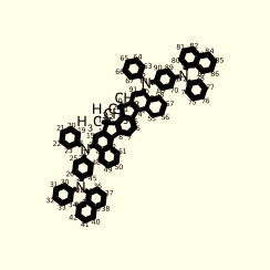 CC1(C)C2=C(c3ccc4c(c31)C(C)(C)c1cc(N(c3ccccc3)c3ccc(N(c5ccccc5)c5cccc6ccccc56)cc3)c3ccccc3c1-4)C1CC=CC=C1C(N(c1ccccc1)c1ccc(N(c3ccccc3)c3cccc4ccccc34)cc1)=C2